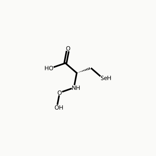 O=C(O)[C@H](C[SeH])NOO